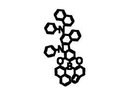 c1ccc(N(c2cccc3ccccc23)c2cc3c(c4ccccc24)c2cc4c5c(c2n3-c2ccccc2)Oc2ccc3ccccc3c2B5c2c(ccc3ccccc23)O4)cc1